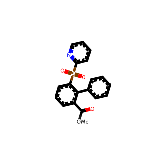 COC(=O)c1cccc(S(=O)(=O)c2ccccn2)c1-c1ccccc1